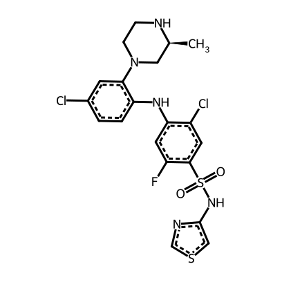 C[C@H]1CN(c2cc(Cl)ccc2Nc2cc(F)c(S(=O)(=O)Nc3cscn3)cc2Cl)CCN1